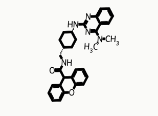 CN(C)c1nc(N[C@H]2CC[C@@H](CNC(=O)C3c4ccccc4Oc4ccccc43)CC2)nc2ccccc12